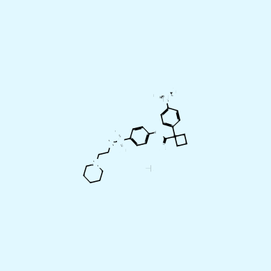 Cl.O=C(Oc1ccc(S(=O)(=O)NCCN2CCCCC2)cc1)C1(c2ccc([N+](=O)[O-])cc2)CCC1